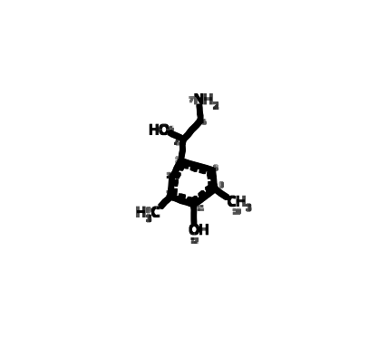 Cc1cc(C(O)CN)cc(C)c1O